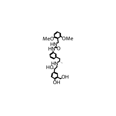 COc1cccc(OC)c1CNC(=O)Nc1cccc(C[C@H](C)NC[C@@H](O)c2ccc(O)c(CO)c2)c1